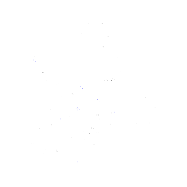 N#Cc1ccc(-n2c3ccccc3c3ccccc32)c(-c2nc(-c3cccc(-c4ccccc4)c3)nc(-c3cc(C#N)ccc3-n3c4ccccc4c4ccccc43)n2)c1